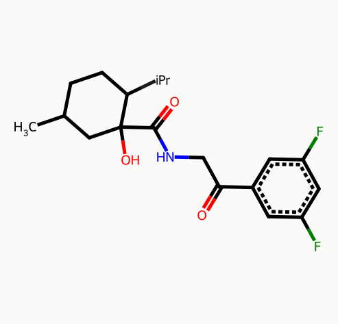 CC1CCC(C(C)C)C(O)(C(=O)NCC(=O)c2cc(F)cc(F)c2)C1